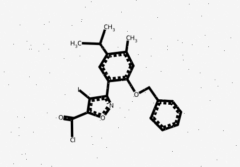 Cc1cc(OCc2ccccc2)c(-c2noc(C(=O)Cl)c2I)cc1C(C)C